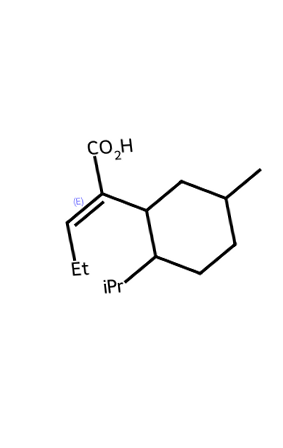 CC/C=C(/C(=O)O)C1CC(C)CCC1C(C)C